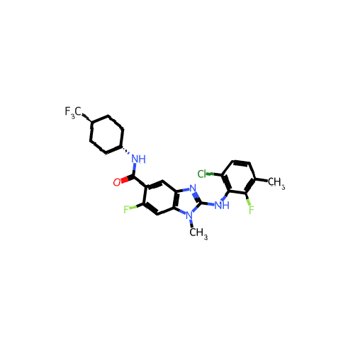 Cc1ccc(Cl)c(Nc2nc3cc(C(=O)N[C@H]4CC[C@H](C(F)(F)F)CC4)c(F)cc3n2C)c1F